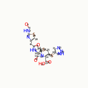 O=CNc1nc(CC(=O)N[C@@H]2C(=O)N3C(C(=O)O)=C(Sc4cnn[nH]4)CS[C@@H]23)cs1